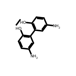 CC.Nc1ccc(O)c(-c2cc(N)ccc2O)c1